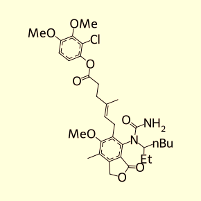 CCCCC(CC)N(C(N)=O)c1c(C/C=C(\C)CCC(=O)Oc2ccc(OC)c(OC)c2Cl)c(OC)c(C)c2c1C(=O)OC2